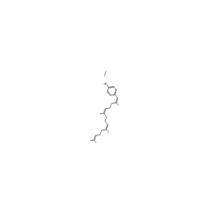 CC(C)=CCCC(C)=CCCC(C)=CCCC(C)=Cc1ccc(C(=O)NCCO)cc1